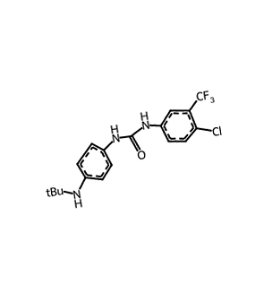 CC(C)(C)Nc1ccc(NC(=O)Nc2ccc(Cl)c(C(F)(F)F)c2)cc1